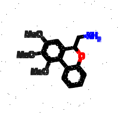 COc1cc2c(c(OC)c1OC)-c1ccccc1OC2CN